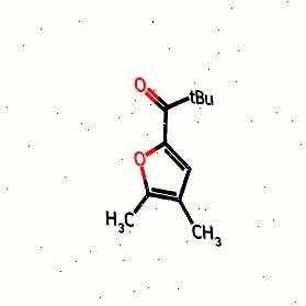 Cc1cc(C(=O)C(C)(C)C)oc1C